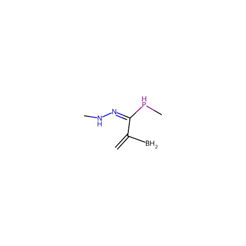 BC(=C)/C(=N\NC)PC